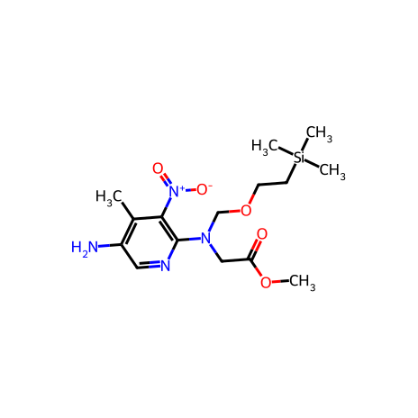 COC(=O)CN(COCC[Si](C)(C)C)c1ncc(N)c(C)c1[N+](=O)[O-]